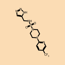 O=S(=O)(NCc1cnn[nH]1)N1CCN(c2ccc(C(F)(F)F)cn2)CC1